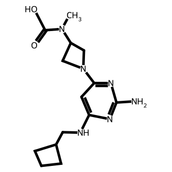 CN(C(=O)O)C1CN(c2cc(NCC3CCC3)nc(N)n2)C1